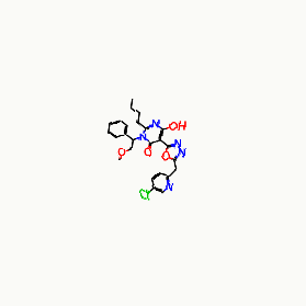 CCCCc1nc(O)c(-c2nnc(Cc3ccc(Cl)cn3)o2)c(=O)n1C(COC)c1ccccc1